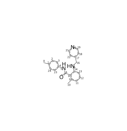 Cc1ccc(NC(=O)c2c(C)cccc2NCc2ccncc2)cc1